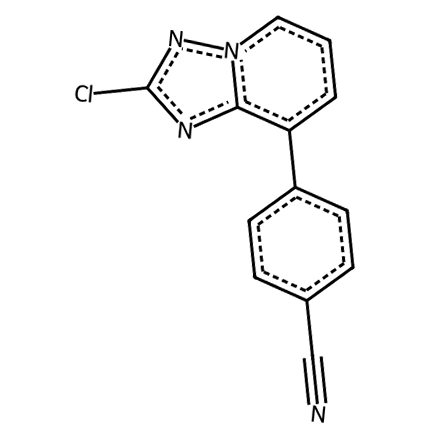 N#Cc1ccc(-c2cccn3nc(Cl)nc23)cc1